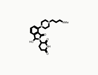 CNCCCN1CCN(c2cccc3c2C(=O)N(C2CCC(=O)NC2=O)C3O)CC1